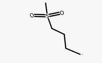 [CH2]CCCS(C)(=O)=O